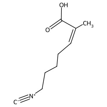 [C-]#[N+]CCCCC=C(C)C(=O)O